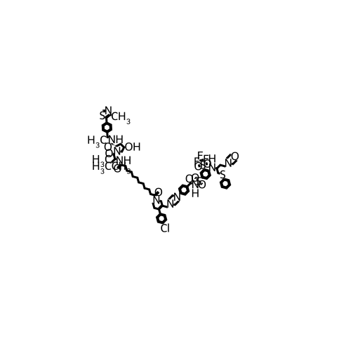 Cc1ncsc1-c1ccc([C@H](C)NC(=O)[C@@H]2C[C@@H](O)CN2C(=O)C(NC(=O)CCCCCCCCCCC(=O)N2CCC(c3ccc(Cl)cc3)=C(CN3CCN(c4ccc(C(=O)NS(=O)(=O)c5ccc(NC(CCN6CCOCC6)CSc6ccccc6)c(S(=O)(=O)C(F)(F)F)c5)cc4)CC3)C2)C(C)(C)C)cc1